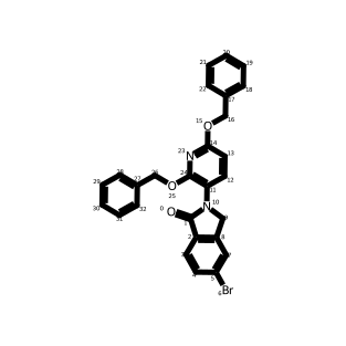 O=C1c2ccc(Br)cc2CN1c1ccc(OCc2ccccc2)nc1OCc1ccccc1